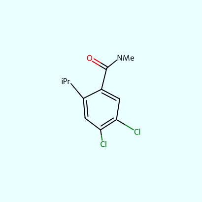 CNC(=O)c1cc(Cl)c(Cl)cc1C(C)C